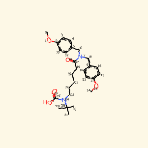 COc1ccc(CN(Cc2ccc(OC)cc2)C(=O)CCCCCN(C(=O)O)C(C)(C)C)cc1